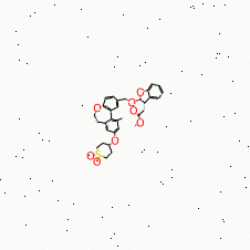 COC(=O)C[C@H]1c2ccccc2O[C@@H]1OCc1ccc2c(c1)-c1c(C)cc(OC3CCS(=O)(=O)CC3)cc1CCO2